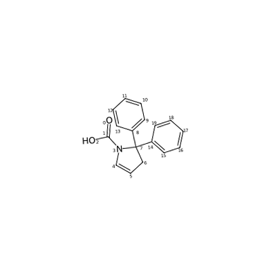 O=C(O)N1C=CCC1(c1ccccc1)c1ccccc1